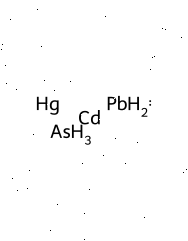 [AsH3].[Cd].[Hg].[PbH2]